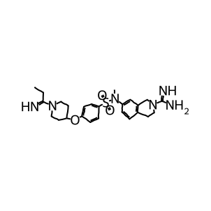 CCC(=N)N1CCC(Oc2ccc(S(=O)(=O)N(C)c3ccc4c(c3)CN(C(=N)N)CC4)cc2)CC1